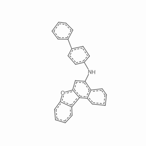 c1ccc(-c2ccc(Nc3cc4oc5ccccc5c4c4ccccc34)cc2)cc1